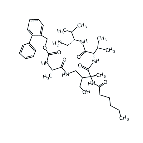 CCCCCC(=O)N[C@@](C)(C(=O)NC(C(=O)N[C@H](CN)C(C)C)C(C)C)C(CO)CNC(=O)[C@H](C)NC(=O)OCc1ccccc1-c1ccccc1